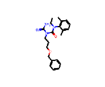 CCN(C(=O)N(CCCOCc1ccccc1)C(=N)N)c1c(C)cccc1C